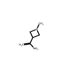 C=C(N)C1CN(C)C1